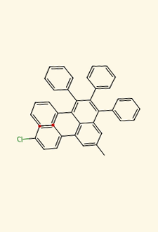 Cc1cc(-c2ccc(Cl)cc2)c2c(-c3ccccc3)c(-c3ccccc3)c(-c3ccccc3)c(-c3ccccc3)c2c1